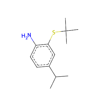 CC(C)c1ccc(N)c(SC(C)(C)C)c1